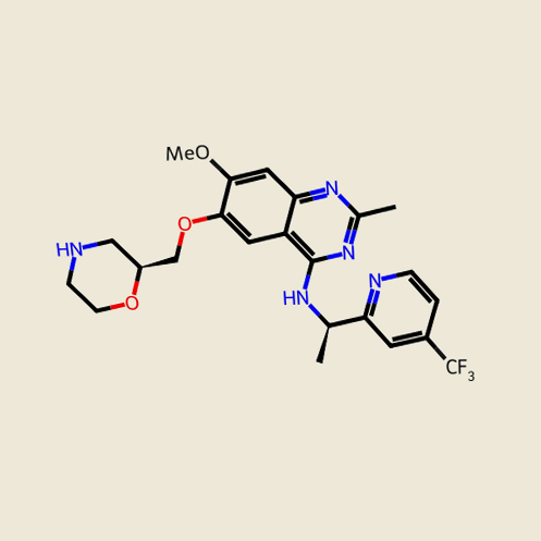 COc1cc2nc(C)nc(N[C@H](C)c3cc(C(F)(F)F)ccn3)c2cc1OC[C@@H]1CNCCO1